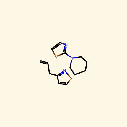 C=CCc1ccsn1.c1csc(N2CCCCC2)n1